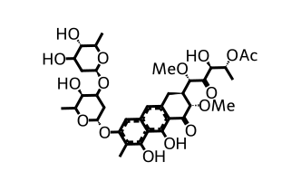 CO[C@@H]1C(=O)c2c(cc3cc(O[C@H]4CC(O[C@H]5CC(O)[C@H](O)C(C)O5)[C@H](O)C(C)O4)c(C)c(O)c3c2O)C[C@H]1[C@H](OC)C(=O)[C@@H](O)[C@@H](C)OC(C)=O